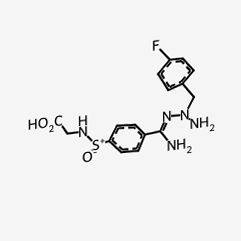 N/C(=N\N(N)Cc1ccc(F)cc1)c1ccc([S+]([O-])NCC(=O)O)cc1